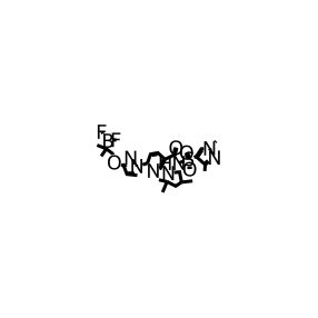 Cc1nn(C)cc1S(=O)(=O)NC(=O)c1ccc(-n2ccc(OCC(C)(C)B(F)F)n2)nc1N1CC(C)CC1(C)C